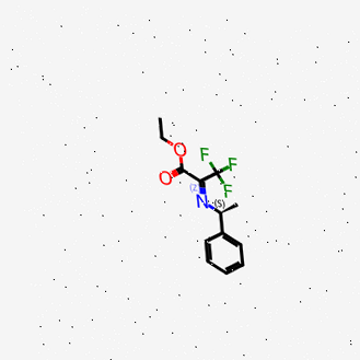 CCOC(=O)/C(=N/[C@@H](C)c1ccccc1)C(F)(F)F